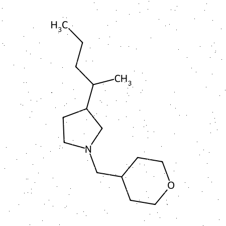 CCCC(C)C1CCN(CC2CCOCC2)C1